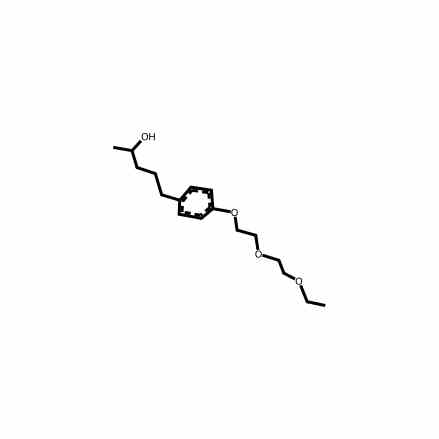 CCOCCOCCOc1ccc(CCCC(C)O)cc1